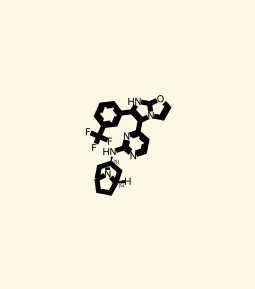 CN1C2CC[C@H]1C[C@@H](Nc1nccc(C3=C(c4cccc(C(F)(F)F)c4)NC4OC=CN34)n1)C2